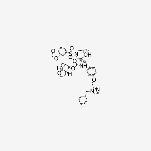 CC(C)CN(C[C@@H](O)[C@H](Cc1ccc(OCc2nccn2Cc2ccccc2)cc1)NC(=O)O[C@H]1CO[C@H]2OCC[C@H]21)S(=O)(=O)c1ccc2c(c1)OCO2